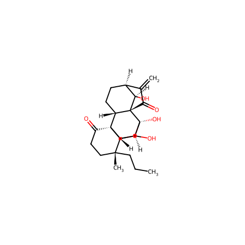 C=C1C(=O)[C@]23[C@H](O)[C@H]1CC[C@H]2[C@@]12CO[C@@]3(O)[C@@H](O)[C@@H]1[C@](C)(CCC)CCC2=O